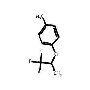 Cc1ccc(OC(C)C(F)(F)F)cc1